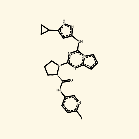 O=C(Nc1ccc(F)nc1)[C@@H]1CCCN1c1nc(Nc2cc(C3CC3)[nH]n2)n2cccc2n1